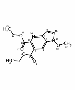 CCOC(=O)c1cc2c(ccn2OC)nc1C(=O)OCC